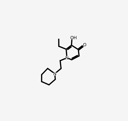 CCc1c(O)c(=O)ccn1CCN1CCCCC1